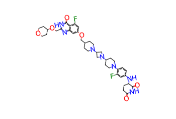 O=C1CC[C@@H](Nc2ccc(N3CCC(N4CC(N5CCC(COc6cc(F)c7c(=O)[nH]c(COC8CCOCC8)nc7c6)CC5)C4)CC3)c(F)c2)C(=O)N1